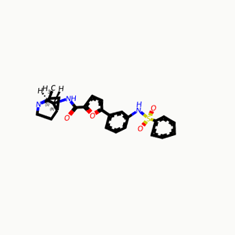 C[C@H]1[C@H](NC(=O)c2ccc(-c3cccc(NS(=O)(=O)c4ccccc4)c3)o2)C2CCN1CC2